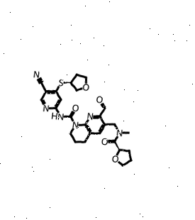 CN(Cc1cc2c(nc1C=O)N(C(=O)Nc1cc(S[C@H]3CCOC3)c(C#N)cn1)CCC2)C(=O)[C@H]1CCCO1